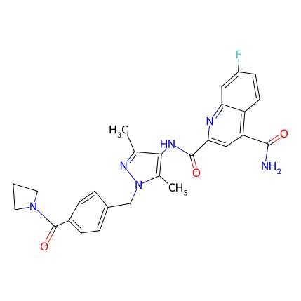 Cc1nn(Cc2ccc(C(=O)N3CCC3)cc2)c(C)c1NC(=O)c1cc(C(N)=O)c2ccc(F)cc2n1